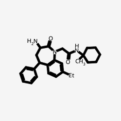 CCc1ccc2c(c1)N(CC(=O)NC1(C)CCCCC1)C(=O)C(N)CC2c1ccccc1